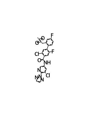 CS(=O)(=O)Cc1cc(F)ccc1-c1cc(Cl)c(C(=O)Nc2cnc(-n3nccn3)c(Cl)c2)cc1F